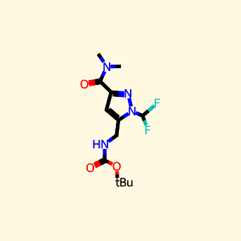 CN(C)C(=O)c1cc(CNC(=O)OC(C)(C)C)n(C(F)F)n1